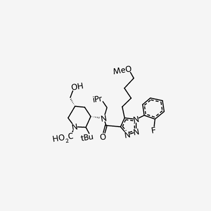 COCCCCc1c(C(=O)N(CC(C)C)[C@H]2C[C@@H](CO)CN(C(=O)O)C2C(C)(C)C)nnn1-c1ccccc1F